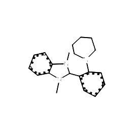 CN1c2ccccc2N(C)C1c1ccccc1N1CCCCC1